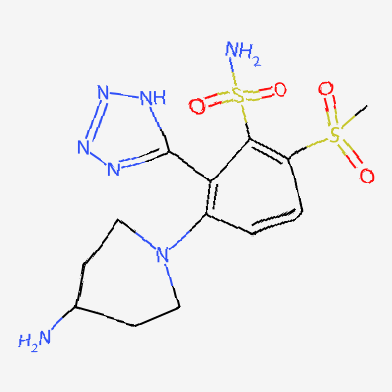 CS(=O)(=O)c1ccc(N2CCC(N)CC2)c(-c2nnn[nH]2)c1S(N)(=O)=O